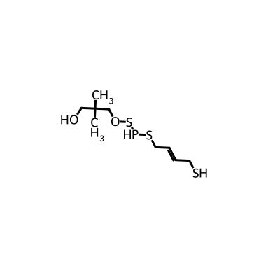 CC(C)(CO)COSPSC/C=C/CS